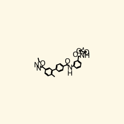 Cc1nnc(-c2ccc(C)c(-c3ccc(C(=O)Nc4cccc(C(=O)NS(C)(=O)=O)c4)cc3)c2)o1